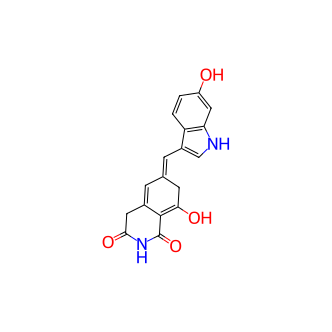 O=C1CC2=CC(=Cc3c[nH]c4cc(O)ccc34)CC(O)=C2C(=O)N1